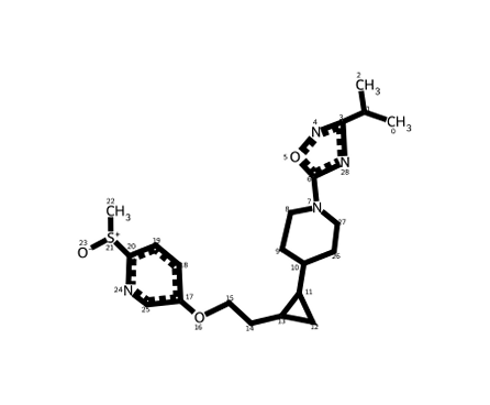 CC(C)c1noc(N2CCC(C3CC3CCOc3ccc([S+](C)[O-])nc3)CC2)n1